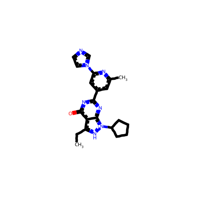 CCc1[nH]n(C2CCCC2)c2nc(-c3cc(C)nc(-n4ccnc4)c3)nc(=O)c1-2